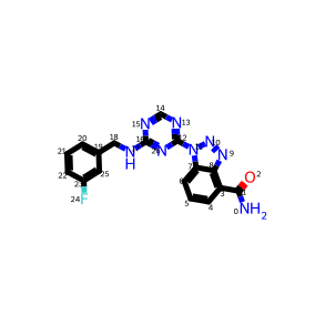 NC(=O)c1cccc2c1nnn2-c1ncnc(NCc2cccc(F)c2)n1